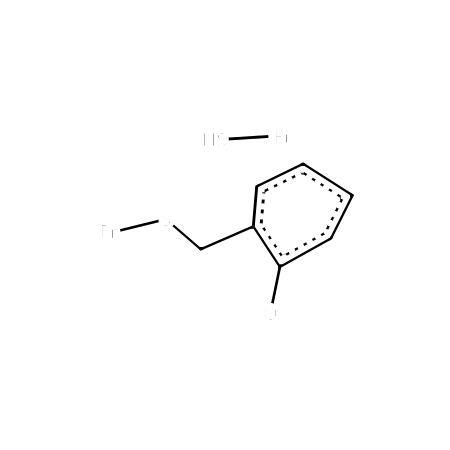 CC(C)S.CC(C)SCc1ccccc1O